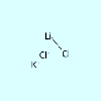 [Cl-].[K+].[Li][Cl]